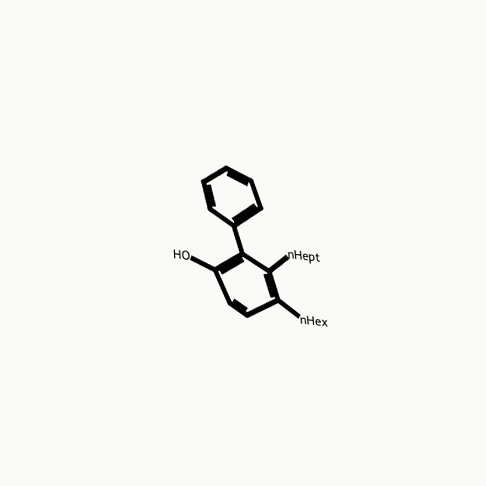 CCCCCCCc1c(CCCCCC)ccc(O)c1-c1ccccc1